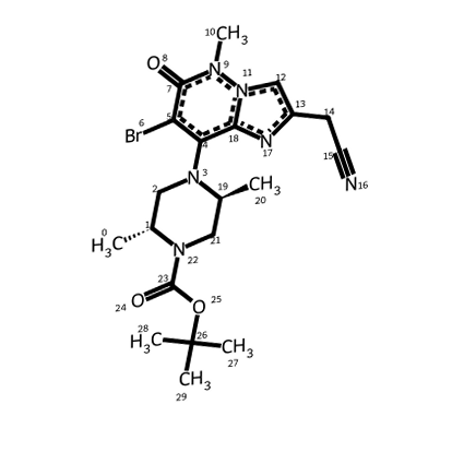 C[C@@H]1CN(c2c(Br)c(=O)n(C)n3cc(CC#N)nc23)[C@@H](C)CN1C(=O)OC(C)(C)C